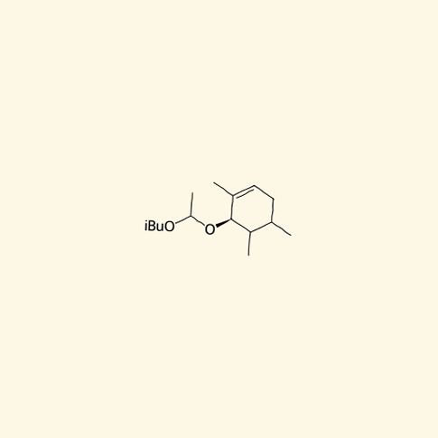 CC1=CCC(C)C(C)[C@H]1OC(C)OCC(C)C